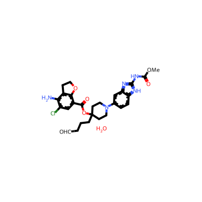 COC(=O)Nc1nc2cc(N3CCC(CCCC=O)(OC(=O)c4cc(Cl)c(N)c5c4OCC5)CC3)ccc2[nH]1.O